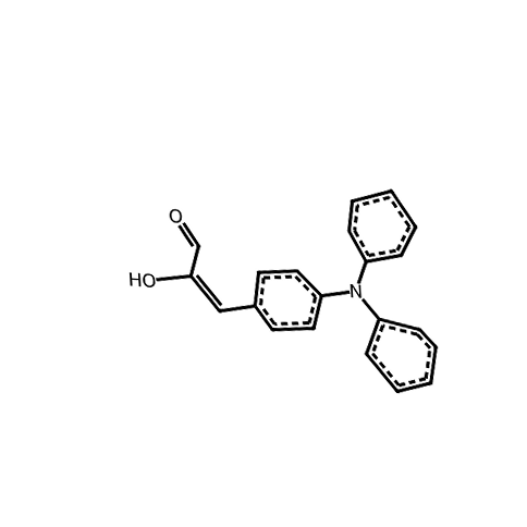 O=C/C(O)=C\c1ccc(N(c2ccccc2)c2ccccc2)cc1